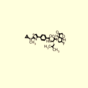 CC(C)C[C@H](NC(=O)c1ccc(-c2csc(N(C)C3CC3)n2)cc1)C(=O)N1C[C@H](F)[C@H]2OCC(=O)[C@H]21